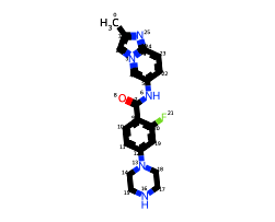 Cc1cn2cc(NC(=O)c3ccc(N4CCNCC4)cc3F)ccc2n1